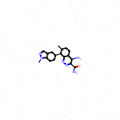 Cc1ccc2c(N)c(C(N)=O)nnc2c1-c1ccc2c(cnn2C)c1